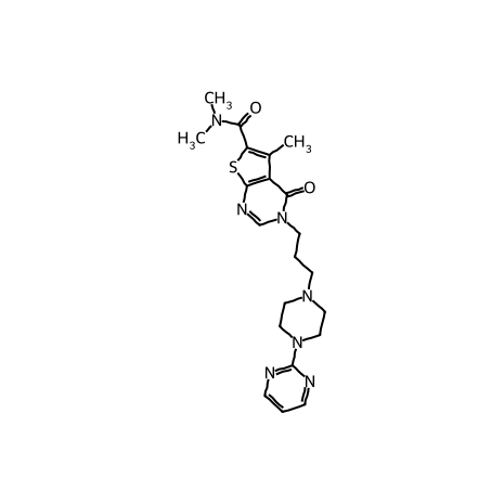 Cc1c(C(=O)N(C)C)sc2ncn(CCCN3CCN(c4ncccn4)CC3)c(=O)c12